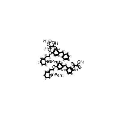 CCCCCN1CCCCC1CCOc1ccc(Cc2ccccc2)cc1.CCCCCN1CCCCC1CCOc1ccc(Cc2ccccc2)cc1.O.O=C(O)C(=O)O.O=C(O)C(=O)O